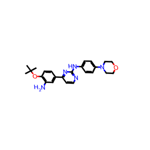 CC(C)(C)Oc1ccc(-c2ccnc(Nc3ccc(N4CCOCC4)cc3)n2)cc1N